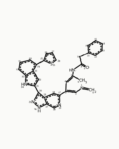 C=N/C=C(\C=C(/C)NC(=O)Cc1ccccc1)c1cc2c(-c3cc4c(-c5cccs5)cccc4[nH]3)n[nH]c2cn1